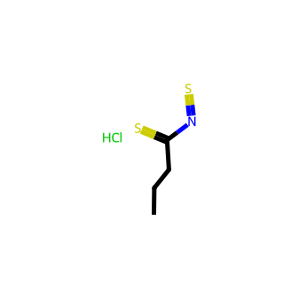 CCCC(=S)N=S.Cl